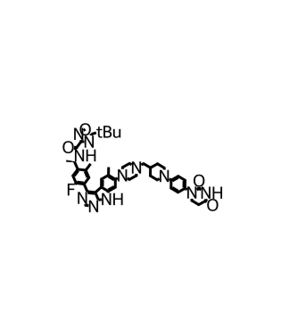 Cc1cc(-c2ncnc3[nH]c4cc(N5CCN(CC6CCN(c7ccc(N8CCC(=O)NC8=O)cc7)CC6)CC5)c(C)cc4c23)c(F)cc1[C@@H](C)NC(=O)c1noc(C(C)(C)C)n1